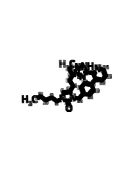 CCCCCc1cn(CCCCC)c(=O)n1Cc1ccc(-c2cccnc2-c2nnn[nH]2)cc1